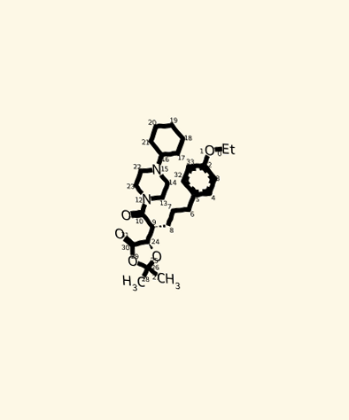 CCOc1ccc(CCC[C@@H](C(=O)N2CCN(C3CCCCC3)CC2)[C@@H]2OC(C)(C)OC2=O)cc1